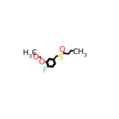 CCCC(=O)SCc1ccc(F)c(OCOC)c1